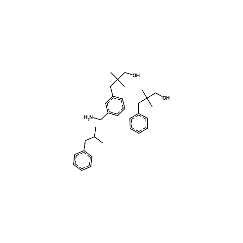 CC(C)(CO)Cc1cccc(CN)c1.CC(C)(CO)Cc1ccccc1.C[C](C)Cc1ccccc1